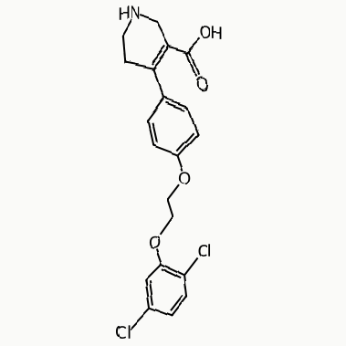 O=C(O)C1=C(c2ccc(OCCOc3cc(Cl)ccc3Cl)cc2)CCNC1